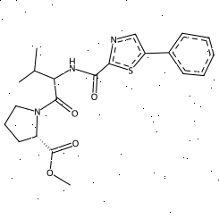 COC(=O)[C@@H]1CCCN1C(=O)C(NC(=O)c1ncc(-c2ccccc2)s1)C(C)C